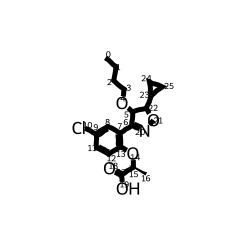 CCCCOC1C(c2cc(Cl)ccc2O[C@@H](C)C(=O)O)=NOC1C1CC1